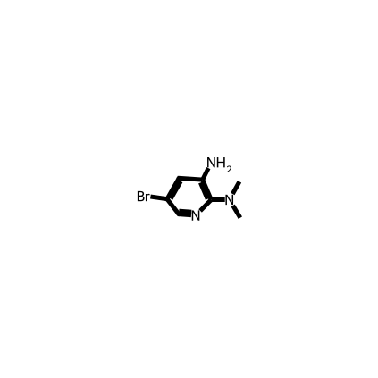 CN(C)c1ncc(Br)cc1N